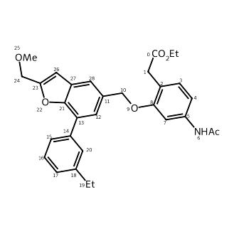 CCOC(=O)Cc1ccc(NC(C)=O)cc1OCc1cc(-c2cccc(CC)c2)c2oc(COC)cc2c1